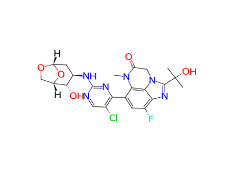 CN1C(=O)Cn2c(C(C)(C)O)nc3c(F)cc(-c4nc(N[C@@H]5C[C@H]6OC[C@H](O6)[C@H]5O)ncc4Cl)c1c32